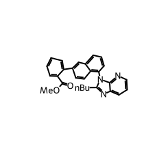 CCCCc1nc2cccnc2n1-c1cccc2cc(-c3ccccc3C(=O)OC)ccc12